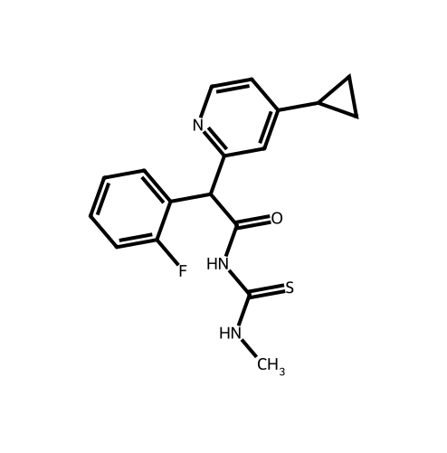 CNC(=S)NC(=O)C(c1cc(C2CC2)ccn1)c1ccccc1F